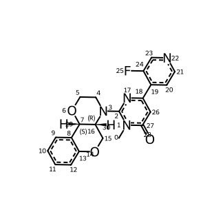 Cn1c(N2CCO[C@H]3c4ccccc4OC[C@H]32)nc(-c2ccncc2F)cc1=O